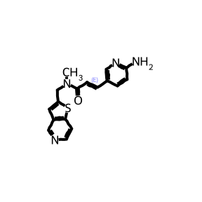 CN(Cc1cc2cnccc2s1)C(=O)/C=C/c1ccc(N)nc1